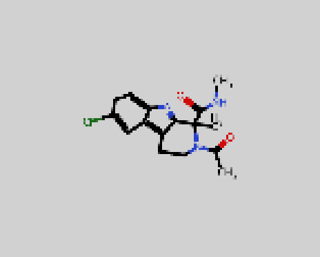 CNC(=O)C1(C)C2=NC3=CCC(Cl)=CC3=C2CCN1C(C)=O